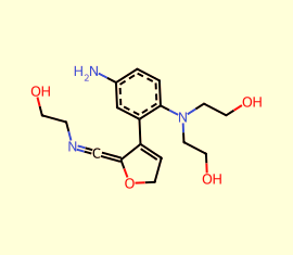 Nc1ccc(N(CCO)CCO)c(C2=CCOC2=C=NCCO)c1